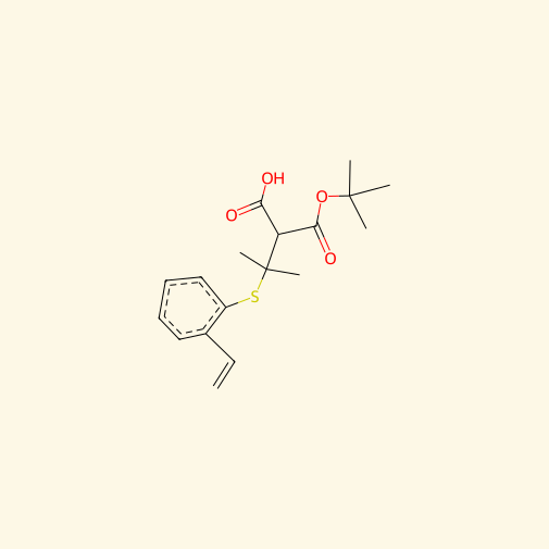 C=Cc1ccccc1SC(C)(C)C(C(=O)O)C(=O)OC(C)(C)C